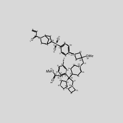 C=CC(=O)N1CC2CC1CC2S(=O)(=O)c1ccc(N2CC(CN3CCC(C(CN4CCC4)(c4cccc(F)c4)[C@H]4CCC[C@@H]4NC(=O)OC)CC3)(OC)C2)cc1